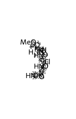 COc1ccc(-c2cnc(C(=O)Nc3ccc(C(=O)NC4CCN(C(=O)C5CCNCC5)C4)c(Cl)c3)n2C)c(F)c1F